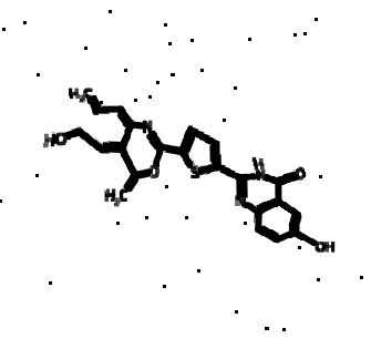 C=C/C=C1/N=C(c2ccc(-c3nc4ccc(O)cc4c(=O)[nH]3)s2)OC(=C)/C1=C/CO